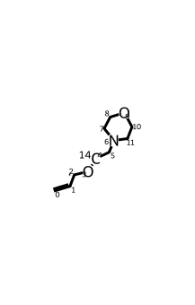 C=C[CH]O[14CH2]CN1CCOCC1